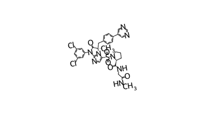 CNC(=O)CNC(=O)[C@@H]1CCCN1S(=O)(=O)c1cnc2n1[C@](C)(Cc1ccc(-c3cncnc3)cc1)C(=O)N2c1cc(Cl)cc(Cl)c1